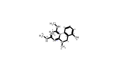 C=C(/N=C(\N=C(/N)NC)N(C)Cc1ccccc1O)NC